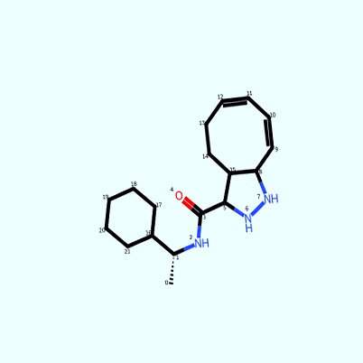 C[C@@H](NC(=O)C1NNC2/C=C\C=C/CCC21)C1CCCCC1